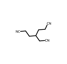 N#CCCC(CC#N)CCC#N